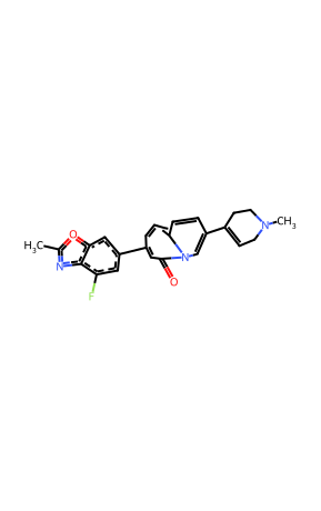 Cc1nc2c(F)cc(C3=C\C(=O)N4C=C(C5=CCN(C)CC5)C=C\C4=C/C=C/3)cc2o1